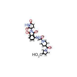 O=C1CCC(N2C(=O)c3cccc(NCC(=O)N4CCC(C(=O)N5CCC(C(=O)O)C5)CC4)c3C2=O)C(=O)N1